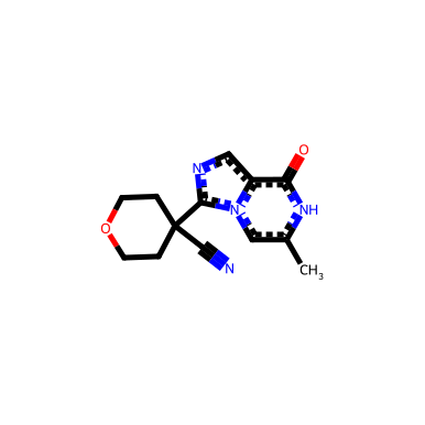 Cc1cn2c(C3(C#N)CCOCC3)ncc2c(=O)[nH]1